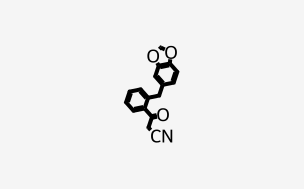 N#CCC(=O)c1ccccc1Cc1ccc2c(c1)OCO2